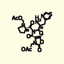 CC(=O)OCN1CCC[C@H]1C(=O)N(C(=O)[C@@H]1[C@H](C)OC(=O)N1COC(C)=O)C(=O)[C@@H](N)Cc1cscn1